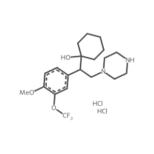 COc1ccc(C(CN2CCNCC2)C2(O)CCCCC2)cc1OC(F)(F)F.Cl.Cl